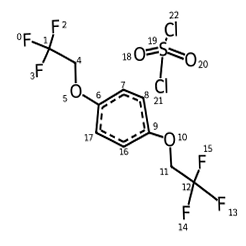 FC(F)(F)COc1ccc(OCC(F)(F)F)cc1.O=S(=O)(Cl)Cl